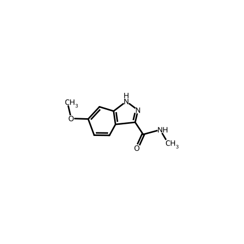 CNC(=O)c1n[nH]c2cc(OC)ccc12